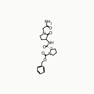 NC(=O)CN1CCC(NC(=O)[C@@H]2CCCN2C(=O)OCc2ccccc2)C1=O